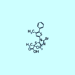 Cc1cc(-n2c(Br)nnc2SC(C)(C)C(=O)O)sc1-c1ccccc1